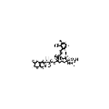 CC(=O)N(CC(C)[C@@](N)(CCC[C@H](O)COC(=O)Nc1cc2cc(F)ccc2cn1)C(=O)O)NCc1cccc(F)c1Cl